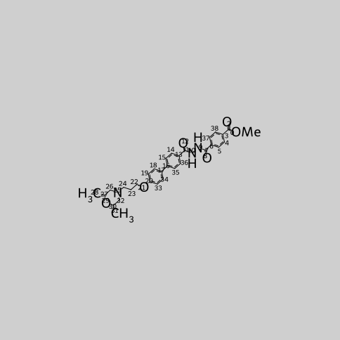 COC(=O)c1ccc(C(=O)NNC(=O)c2ccc(-c3ccc(OCCCN4CC(C)OC(C)C4)cc3)cc2)cc1